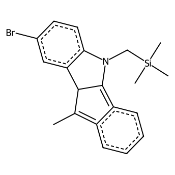 CC1=c2ccccc2=C2C1c1cc(Br)ccc1N2C[Si](C)(C)C